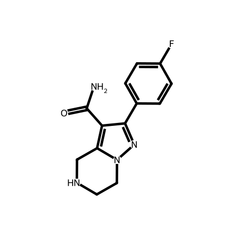 NC(=O)c1c(-c2ccc(F)cc2)nn2c1CNCC2